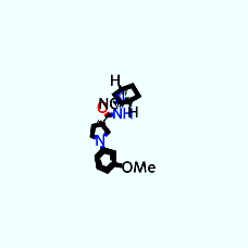 COc1cccc(N2CC[C@H](C(=O)N[C@@H]3C[C@@H]4CC[C@H]3N4C#N)C2)c1